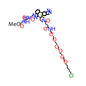 COC(=O)CNC(=O)CNC(=O)Cn1nc(C2CCN(C(=O)CCC(=O)NCCOCCOCCOCCOCCOCCOCCCCCCCl)CC2)c2c(-c3cc4c(cnn4C)cc3F)cccc21